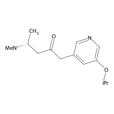 CN[C@H](C)CC(=O)Cc1cncc(OC(C)C)c1